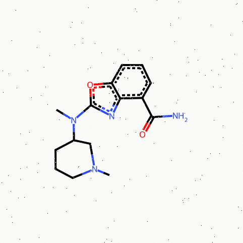 CN1CCCC(N(C)c2nc3c(C(N)=O)[c]ccc3o2)C1